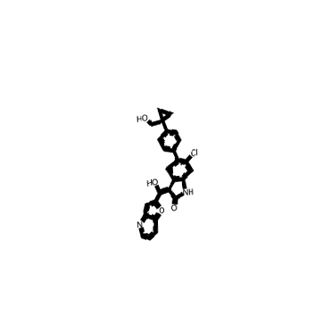 O=C1Nc2cc(Cl)c(-c3ccc(C4(CO)CC4)cc3)cc2C1=C(O)c1cc2ncccc2o1